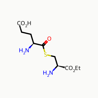 CCOC(=O)[C@@H](N)CSC(=O)[C@@H](N)CCC(=O)O